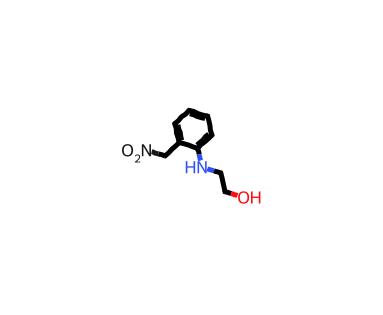 O=[N+]([O-])Cc1ccccc1NCCO